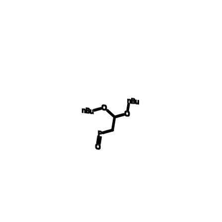 CCCCOC(CP=O)OCCCC